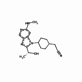 CNc1cc2c(cn1)nc([C@@H](C)O)n2C1CCC(CC#N)CC1